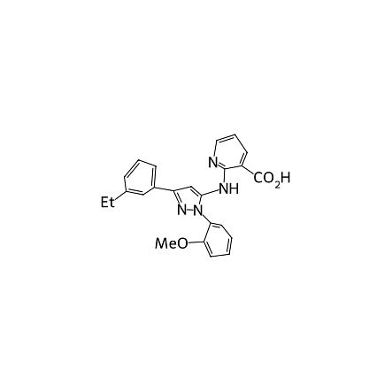 CCc1cccc(-c2cc(Nc3ncccc3C(=O)O)n(-c3ccccc3OC)n2)c1